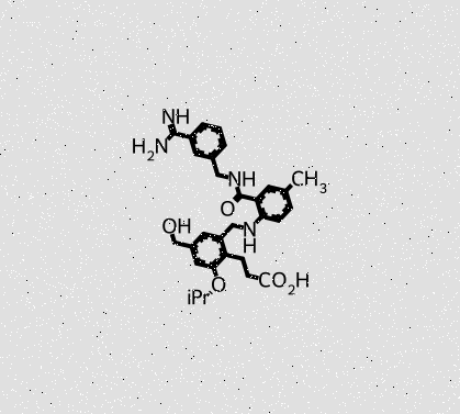 Cc1ccc(NCc2cc(CO)cc(OC(C)C)c2CCC(=O)O)c(C(=O)NCc2cccc(C(=N)N)c2)c1